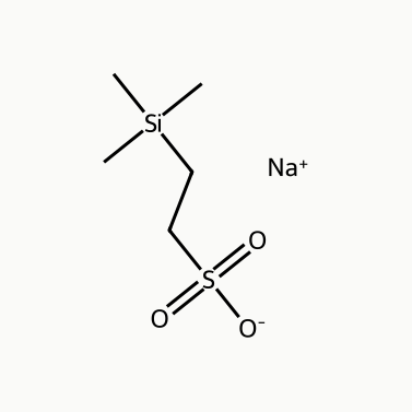 C[Si](C)(C)CCS(=O)(=O)[O-].[Na+]